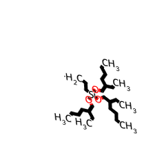 [CH2]CC[Si](OCC(CC)CCCC)(OCC(CC)CCCC)OCC(CC)CCCC